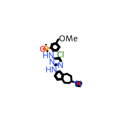 COCc1ccc(Nc2nc(Nc3ccc4c(c3)CCC(N3CC5CC3C5)CC4)ncc2Cl)c(P(C)(C)=O)c1